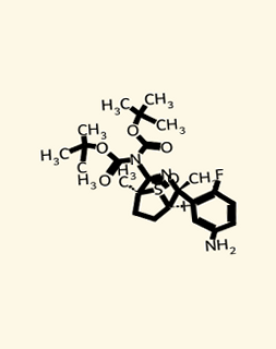 CC(C)(C)OC(=O)N(C(=O)OC(C)(C)C)C1=N[C@](C)(c2cc(N)ccc2F)[C@H]2CC[C@]1(C)S2(=O)=O